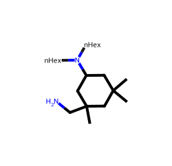 CCCCCCN(CCCCCC)C1CC(C)(C)CC(C)(CN)C1